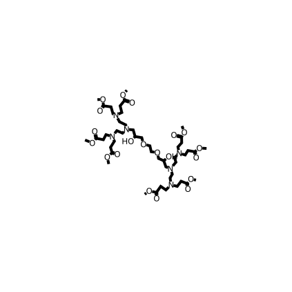 COC(=O)CCN(CCC(=O)OC)CCN(CCN(CCC(=O)OC)CCC(=O)OC)CC(O)COCCOCC(O)CN(CCN(CCC(=O)OC)CCC(=O)OC)CCN(CCC(=O)OC)CCC(=O)OC